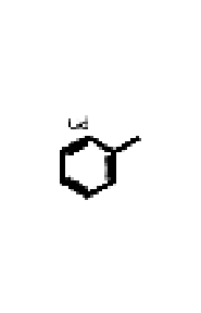 Cc1ccccc1.[Gd]